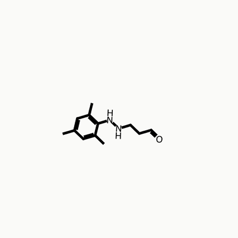 Cc1cc(C)c(NNCCC=O)c(C)c1